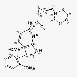 COc1cccc(OC)c1-c1c[nH]c2nc(NC(=O)[C@@H]3C[C@H]3CN3CCOCC3)ccc12